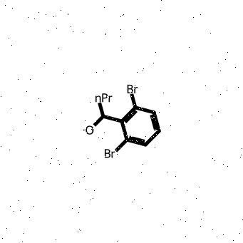 CCCC([O])c1c(Br)cccc1Br